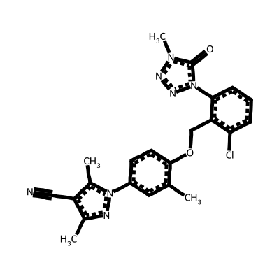 Cc1cc(-n2nc(C)c(C#N)c2C)ccc1OCc1c(Cl)cccc1-n1nnn(C)c1=O